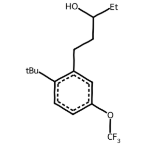 CCC(O)CCc1cc(OC(F)(F)F)ccc1C(C)(C)C